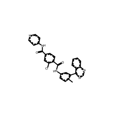 Cc1ccc(NC(=O)c2ccc(C(=O)Nc3ccncc3)cc2Cl)cc1-c1ncnc2ccccc12